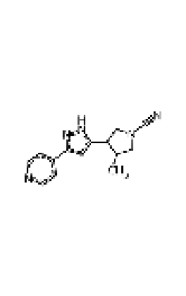 CC1CN(C#N)CC1c1cc(-c2ccncc2)n[nH]1